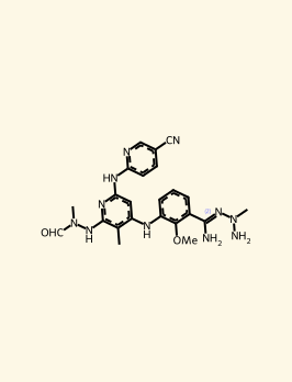 COc1c(Nc2cc(Nc3ccc(C#N)cn3)nc(NN(C)C=O)c2C)cccc1/C(N)=N/N(C)N